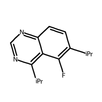 CC(C)c1ccc2ncnc(C(C)C)c2c1F